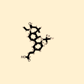 CCN1C(=O)CC(C)(C)c2c1ccc(-c1cc(C=CC(=O)O)ccc1OC(F)(F)F)c2C